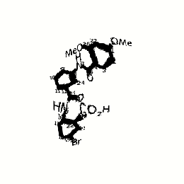 COc1ccc(C(=O)Nc2cccc(C(=O)Nc3ccc(Br)cc3C(=O)O)c2)c(OC)c1